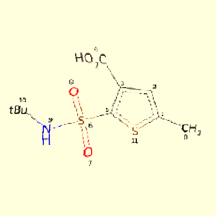 Cc1cc(C(=O)O)c(S(=O)(=O)NC(C)(C)C)s1